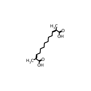 CC(=CCCCCCCCC=C(C)C(=O)O)C(=O)O